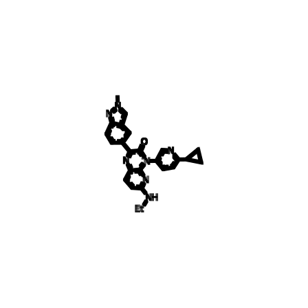 CCNc1ccc2nc(-c3ccc4nn(C)cc4c3)c(=O)n(-c3ccc(C4CC4)nc3)c2n1